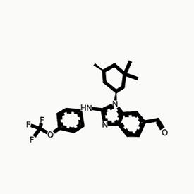 C[C@@H]1C[C@H](n2c(Nc3ccc(OC(F)(F)F)cc3)nc3ccc(C=O)cc32)CC(C)(C)C1